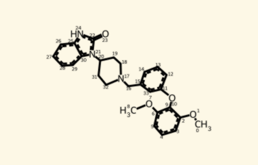 COc1cccc(OC)c1Oc1cccc(CN2CCC(n3c(=O)[nH]c4ccccc43)CC2)c1